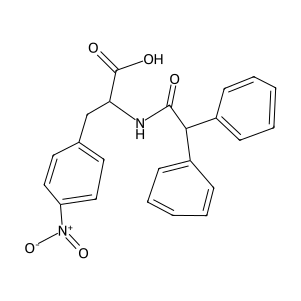 O=C(O)C(Cc1ccc([N+](=O)[O-])cc1)NC(=O)C(c1ccccc1)c1ccccc1